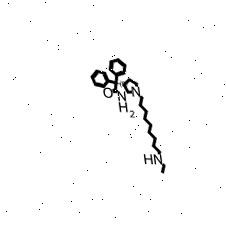 CCNCCCCCCCCCN1CC[C@@H](C(C(N)=O)(c2ccccc2)c2ccccc2)C1